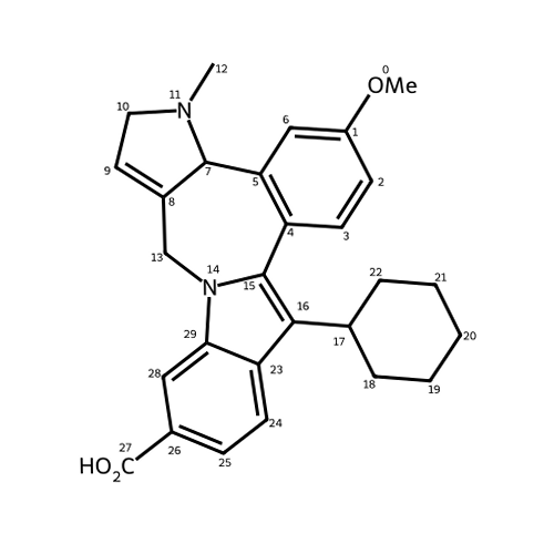 COc1ccc2c(c1)C1C(=CCN1C)Cn1c-2c(C2CCCCC2)c2ccc(C(=O)O)cc21